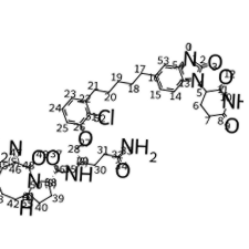 Cn1c(=O)n(C2CCC(=O)NC2=O)c2ccc(CCCCCc3cccc(OC[C@H](CCC(N)=O)NC(=O)[C@@H]4CC[C@@H]5CCCC[C@H](N)C(=O)N54)c3Cl)cc21